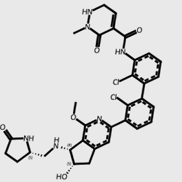 COc1nc(-c2cccc(-c3cccc(NC(=O)C4=CCNN(C)C4=O)c3Cl)c2Cl)cc2c1[C@@H](NC[C@@H]1CCC(=O)N1)[C@@H](O)C2